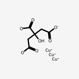 O=C([O-])CC(O)(CC(=O)[O-])C(=O)[O-].[Cu+].[Cu+].[Cu+]